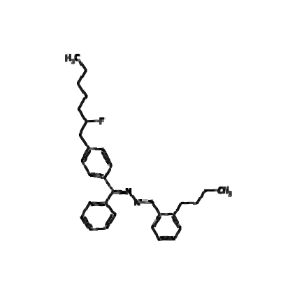 CCCCCC(F)Cc1ccc(C(=NN=Cc2ccccc2CCCC)c2ccccc2)cc1